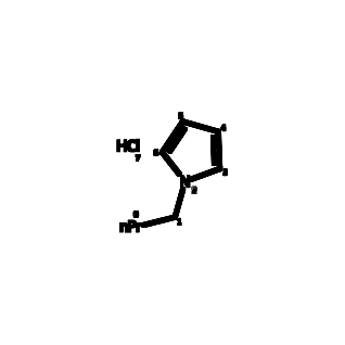 CCCCn1cccc1.Cl